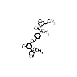 CCCCN(CC)C(=O)N(C)c1ccc(COc2cc(F)cc(C3(OC)CCOCC3)c2)cc1